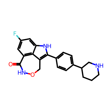 O=C1NOCc2c(-c3ccc(C4CCCNC4)cc3)[nH]c3cc(F)cc1c23